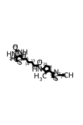 C#Cc1nc(C2=C(C)C(NC(=O)CCCCC3SC[C@@H]4NC(=O)N[C@H]34)CC2)cs1